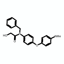 CNc1ccc(Oc2ccc(N(Cc3ccccc3)C(=O)CO)cc2)cc1